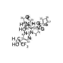 C[C@@](O)(c1cnc(N2CCN(S(=O)(=O)c3cccs3)C[C@@H]2CN2[C@H]3COC[C@@H]2[C@H](O)C3)nc1)C(F)(F)F